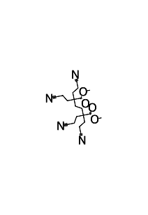 COC(=O)C(CCC#N)(CCC#N)CCC(CCC#N)(CCC#N)C(=O)OC